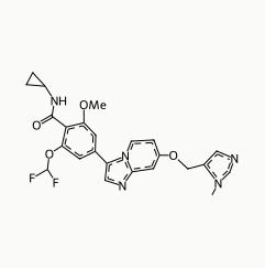 COc1cc(-c2cnc3cc(OCc4cncn4C)ccn23)cc(OC(F)F)c1C(=O)NC1CC1